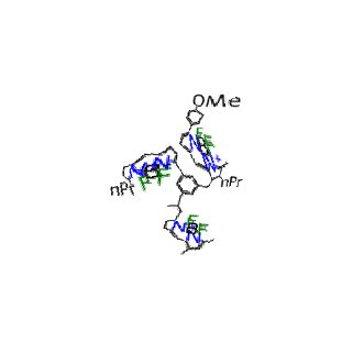 CCCC1=C(Cc2cc(-c3ccc4n3[B-](F)(F)[N+]3=C(CCC)C=CC3=C4)cc(C(C)CC3=[N+]4C(=Cc5c(C)cc(C)n5[B-]4(F)F)C=C3)c2)C2=Cc3ccc(-c4ccc(OC)cc4)n3[B-](F)(F)[N+]2=C1C